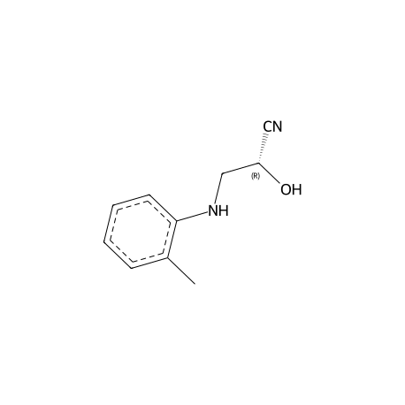 Cc1ccccc1NC[C@@H](O)C#N